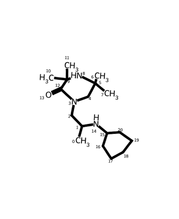 CC(CN1CC(C)(C)NC(C)(C)C1=O)NC1CCCCC1